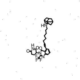 O=C1CCC(n2c(C(F)(F)F)nc3cccc(C#CCCCCCCNC45CC6CC(CC(C6)C4)C5)c3c2=O)C(=O)N1